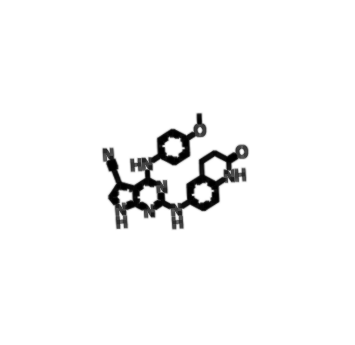 COc1ccc(Nc2nc(Nc3ccc4c(c3)CCC(=O)N4)nc3[nH]cc(C#N)c23)cc1